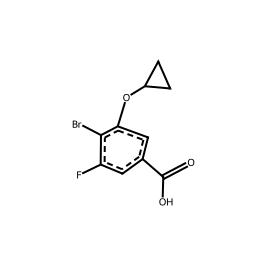 O=C(O)c1cc(F)c(Br)c(OC2CC2)c1